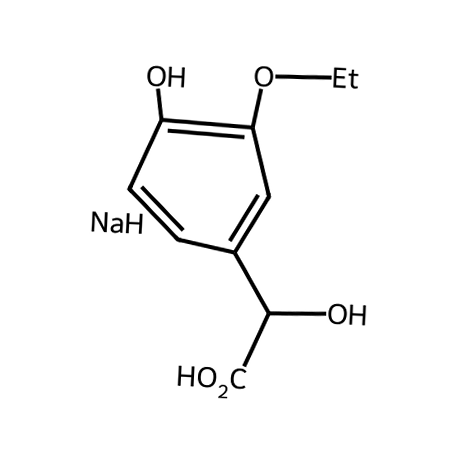 CCOc1cc(C(O)C(=O)O)ccc1O.[NaH]